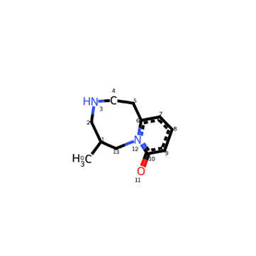 CC1CNCCc2cccc(=O)n2C1